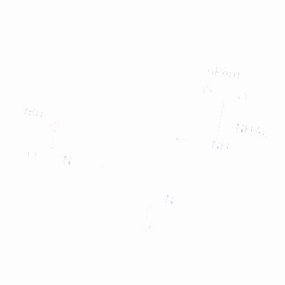 CCCCCOC(=O)[C@@](C)(NC(C)=O)NC(=O)[C@@H]1CCCN(C(=O)CCC2CCN(C(=O)OC(C)(C)C)CC2)C1